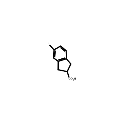 O=C(O)C1Cc2ccc(F)cc2C1